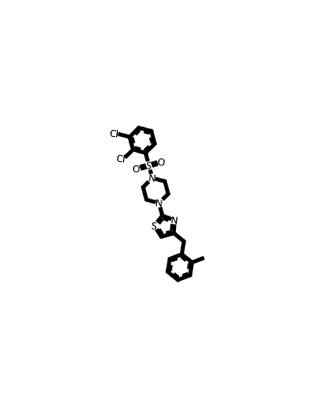 Cc1ccccc1Cc1csc(N2CCN(S(=O)(=O)c3cccc(Cl)c3Cl)CC2)n1